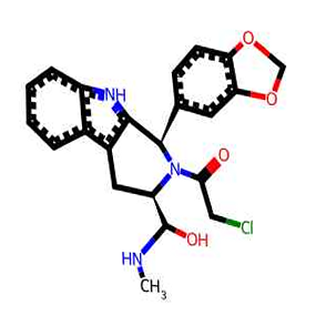 CNC(O)[C@H]1Cc2c([nH]c3ccccc23)[C@@H](c2ccc3c(c2)OCO3)N1C(=O)CCl